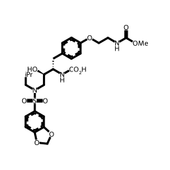 COC(=O)NCCOc1ccc(C[C@H](NC(=O)O)[C@H](O)CN(CC(C)C)S(=O)(=O)c2ccc3c(c2)OCO3)cc1